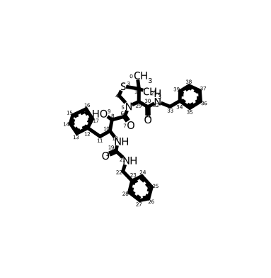 CC1(C)SCN(C(=O)C(O)C(Cc2ccccc2)NC(=O)NCc2ccccc2)C1C(=O)NCc1ccccc1